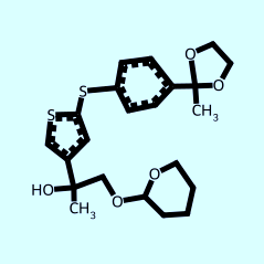 CC(O)(COC1CCCCO1)c1csc(Sc2ccc(C3(C)OCCO3)cc2)c1